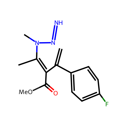 C=C(/C(C(=O)OC)=C(/C)N(C)N=N)c1ccc(F)cc1